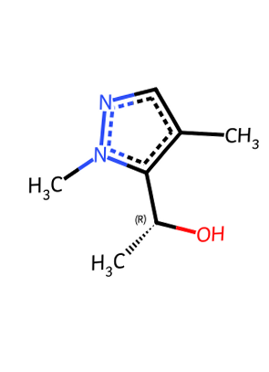 Cc1cnn(C)c1[C@@H](C)O